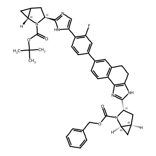 CC(C)(C)OC(=O)N1[C@@H]2CC2C[C@H]1c1ncc(-c2ccc(-c3ccc4c(c3)CCc3[nH]c([C@@H]5C[C@H]6C[C@H]6N5C(=O)OCc5ccccc5)nc3-4)cc2F)[nH]1